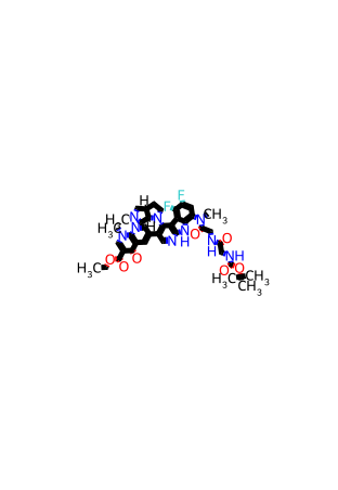 CCOC(=O)c1cn(C)c2ncc(-c3cnc4[nH]c5c(N(C)C(=O)CNC(=O)CNC(=O)OC(C)(C)C)cc(F)c(F)c5c4c3N3CC[C@@H]4CN(C)C[C@@H]43)cc2c1=O